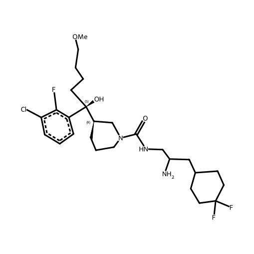 COCCCC[C@@](O)(c1cccc(Cl)c1F)[C@@H]1CCCN(C(=O)NCC(N)CC2CCC(F)(F)CC2)C1